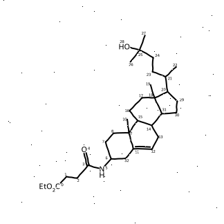 CCOC(=O)CCC(=O)NC1CCC2(C)C(=CCC3C2CCC2(C)C(C(C)CCC(C)(C)O)CCC32)C1